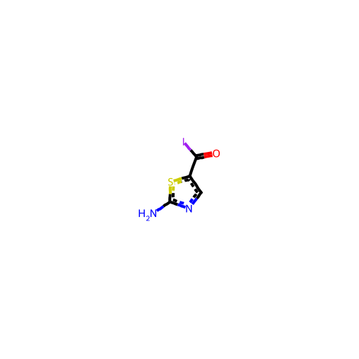 Nc1ncc(C(=O)I)s1